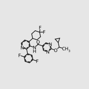 CC(Oc1ncc(C(=O)Nc2c(C3CCC(F)(F)CC3)ccnc2-c2cc(F)ccc2F)cn1)C1CC1